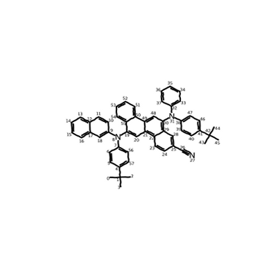 CC(C)(C)c1ccc(N(c2ccc3ccccc3c2)c2cc3c4ccc(C#N)cc4c(N(c4ccccc4)c4ccc(C(C)(C)C)cc4)cc3c3ccccc23)cc1